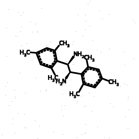 Cc1cc(C)c([C@@H](N)[C@H](N)c2c(C)cc(C)cc2C)c(C)c1